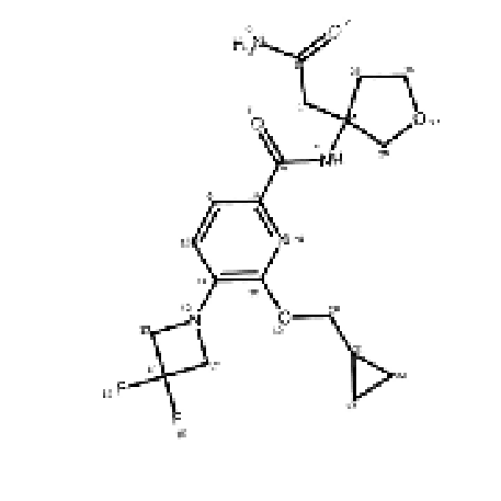 NC(=O)CC1(NC(=O)c2ccc(N3CC(F)(F)C3)c(OCC3CC3)n2)CCOC1